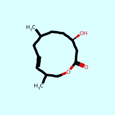 CC1/C=C/CC(C)CC[C@@H](O)CC(=O)OC1